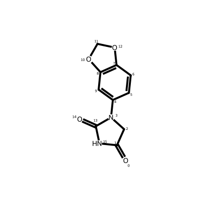 O=C1CN(c2ccc3c(c2)OCO3)C(=O)N1